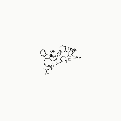 CCC1=C[C@@H]2C[N@](C1)Cc1c([nH]c3ccccc13)[C@@](C(=O)CO)(c1cc3c(cc1OC)N(C)[C@H]1[C@@](O)(C(=O)OC)[C@H](OC(C)=O)[C@]4(CC)C=CCN5CC[C@]31[C@@H]54)C2